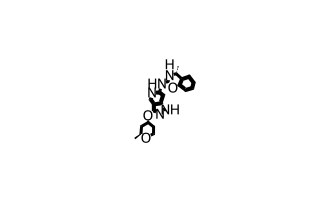 C[C@H]1C[C@@H](Oc2n[nH]c3cc(NC(=O)N[C@H](C)c4ccccc4)ncc23)CCO1